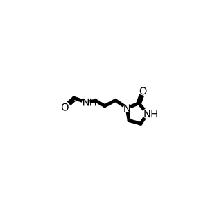 O=CNCCCN1CCNC1=O